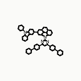 c1ccc(-c2ccc(-c3cc(-c4ccc(-c5ccccc5)cc4)nc(-n4c5cccc6ccc7cc(-c8ccc9c(c8)c8ccccc8n9-c8ccccc8)cc4c7c65)n3)cc2)cc1